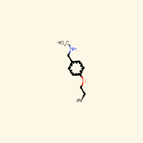 CC(C)CCOc1ccc(CNC(=O)O)cc1